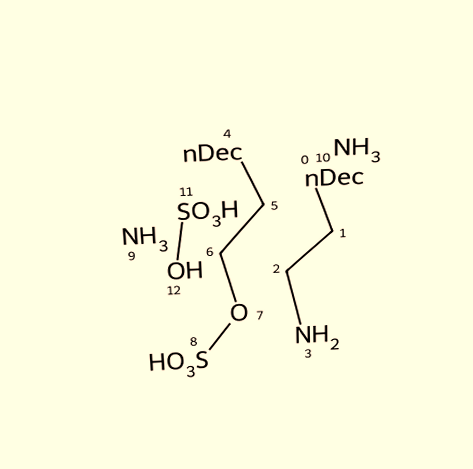 CCCCCCCCCCCCN.CCCCCCCCCCCCOS(=O)(=O)O.N.N.O=S(=O)(O)O